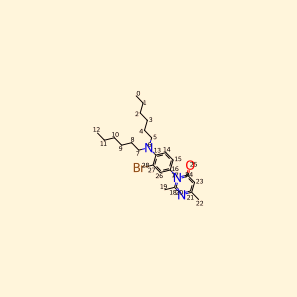 CCCCCCN(CCCCCC)c1ccc(-n2c(C)nc(C)cc2=O)cc1Br